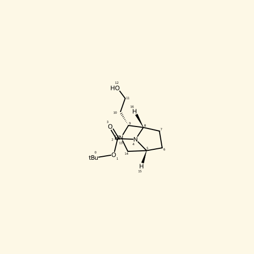 CC(C)(C)OC(=O)N1[C@@H]2CC[C@H]1[C@@H](CCO)NC2